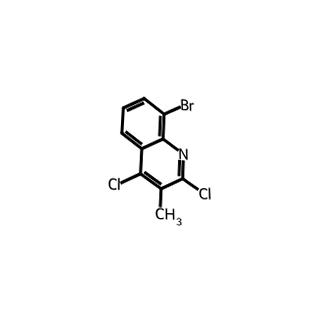 Cc1c(Cl)nc2c(Br)cccc2c1Cl